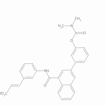 CN(C)C(=O)Oc1cccc(-c2cc(C(=O)Nc3cccc(C=CC(=O)O)c3)c3ccccc3c2)c1